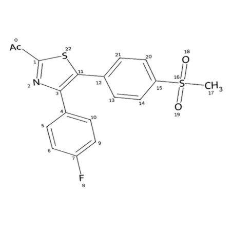 CC(=O)c1nc(-c2ccc(F)cc2)c(-c2ccc(S(C)(=O)=O)cc2)s1